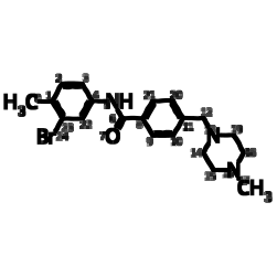 Cc1ccc(NC(=O)c2ccc(CN3CCN(C)CC3)cc2)cc1Br